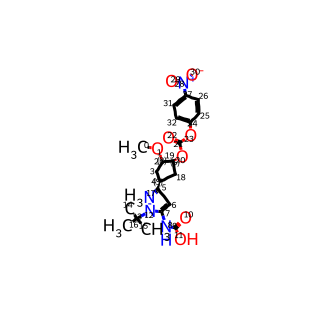 CO[C@@H]1C[C@H](c2cc(NC(=O)O)n(C(C)(C)C)n2)C[C@@H]1OC(=O)Oc1ccc([N+](=O)[O-])cc1